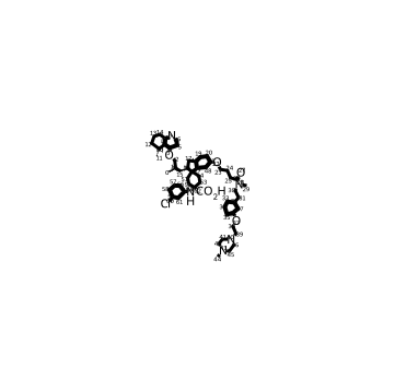 C[C@@H](COc1ccnc2c1[C@H](C)CCC2)C[C@H]1Cc2ccc(OCCCC(=O)N(C)CCc3cccc(OCCN4CCN(C)CC4)c3)cc2C12CCC(Nc1cccc(Cl)c1)(C(=O)O)CC2